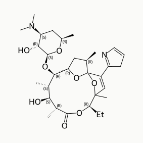 CC[C@H]1OC(=O)[C@H](C)[C@@H](O)[C@H](C)[C@@H](O[C@@H]2O[C@H](C)C[C@H](N(C)C)[C@H]2O)[C@@]2(C)C[C@@H](C)C3(OC1(C)C=C3C1=NC=CC1)O2